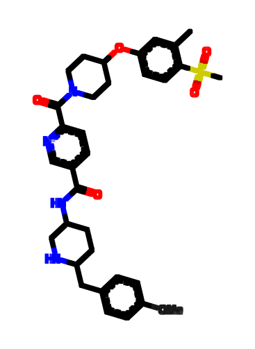 COc1ccc(CC2CCC(NC(=O)c3ccc(C(=O)N4CCC(Oc5ccc(S(C)(=O)=O)c(C)c5)CC4)nc3)CN2)cc1